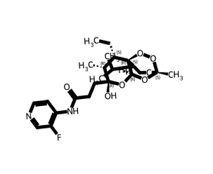 CC[C@H]1[C@@H](C)[C@@](O)(CCC(=O)Nc2ccncc2F)O[C@@H]2O[C@]3(C)CC[C@@H](C(C)C)[C@]21OO3